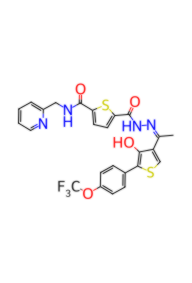 CC(=NNC(=O)c1ccc(C(=O)NCc2ccccn2)s1)c1csc(-c2ccc(OC(F)(F)F)cc2)c1O